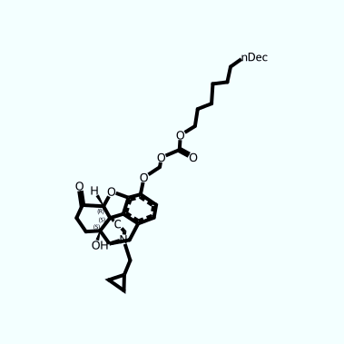 CCCCCCCCCCCCCCCCOC(=O)OCOc1ccc2c3c1O[C@H]1C(=O)CC[C@@]4(O)C(C2)N(CC2CC2)CC[C@]314